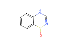 [O-][S+]1N=CNc2ccccc21